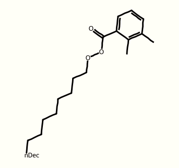 [CH2]CCCCCCCCCCCCCCCCCOOC(=O)c1cccc(C)c1C